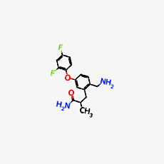 CC(Cc1cc(Oc2ccc(F)cc2F)ccc1CN)C(N)=O